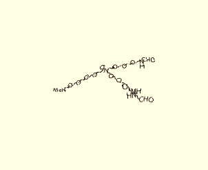 CNCCOCCOCCOCCOCCC(=O)N(CCOCCOCCOCCNC=O)CCOCCOCCOCCNNCCC=O